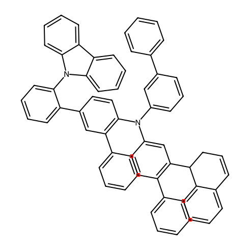 C1=Cc2ccccc2C(c2cc(N(c3cccc(-c4ccccc4)c3)c3ccc(-c4ccccc4-n4c5ccccc5c5ccccc54)cc3-c3ccccc3)ccc2-c2ccccc2)C1